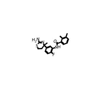 Cc1cccc(C(=O)Nc2cc(C3(C)CCSC(N)=N3)ccc2F)c1C